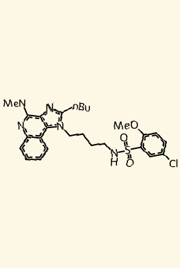 CCCCc1nc2c(NC)nc3ccccc3c2n1CCCCNS(=O)(=O)c1cc(Cl)ccc1OC